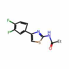 CCC(=O)Nc1nc(-c2ccc(F)c(F)c2)cs1